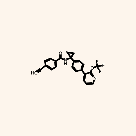 C#Cc1ccc(C(=O)NC2(c3ccc(-c4cccnc4OC(F)(F)F)cc3)CC2)cc1